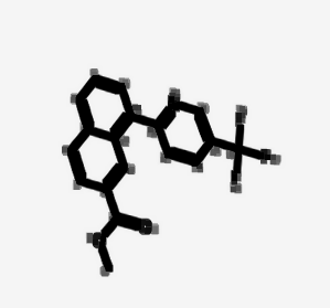 COC(=O)c1ccc2cccc(-c3ccc(C(F)(F)F)cn3)c2c1